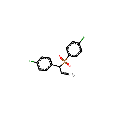 C=CC(c1ccc(F)cc1)S(=O)(=O)c1ccc(F)cc1